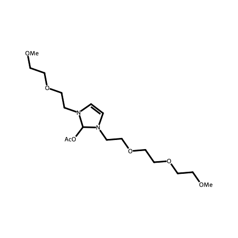 COCCOCCOCCN1C=CN(CCOCCOC)C1OC(C)=O